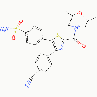 CC1CN(C(=O)c2nc(-c3ccc(C#N)cc3)c(-c3ccc(S(N)(=O)=O)cc3)s2)CC(C)O1